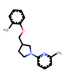 Cc1cccc(N2CCC(COc3ccccc3C)C2)n1